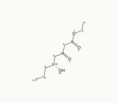 CCOC(=O)CC(=O)C[C@H](O)CCI